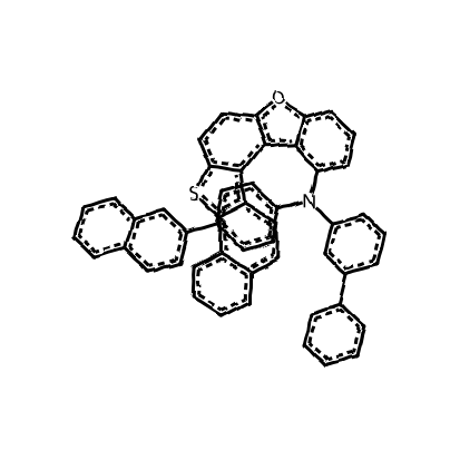 c1ccc(-c2cccc(N(c3ccc(-c4ccc5ccccc5c4)cc3)c3cccc4oc5ccc6sc7c8ccccc8ccc7c6c5c34)c2)cc1